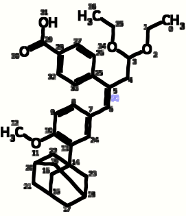 CCOC(C/C(=C/c1ccc(OC)c(C23CC4CC(CC(C4)C2)C3)c1)c1ccc(C(=O)O)cc1)OCC